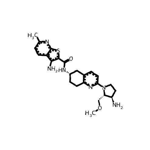 COC[C@H]1[C@H](N)CCN1c1ccc2c(n1)CC[C@H](NC(=O)c1sc3nc(C)ccc3c1N)C2